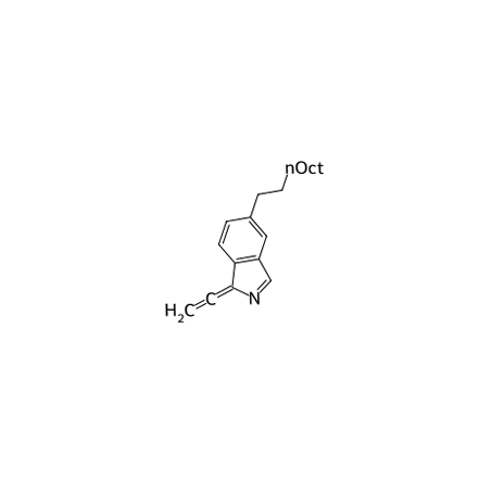 C=C=C1N=Cc2cc(CCCCCCCCCC)ccc21